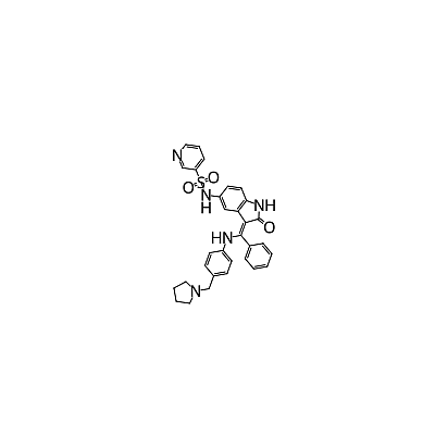 O=C1Nc2ccc(NS(=O)(=O)c3cccnc3)cc2C1=C(Nc1ccc(CN2CCCC2)cc1)c1ccccc1